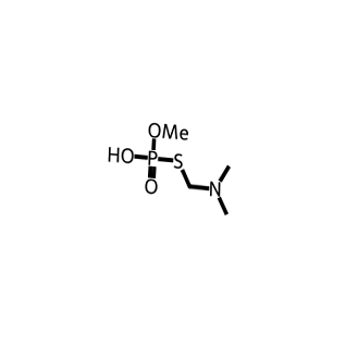 COP(=O)(O)SCN(C)C